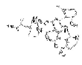 COc1nc(-c2c(O)cccc2F)cc2c1c(N1CCN(C(=O)OC(C)(C)C)CC1)nc(=O)n2-c1c(C)ccnc1C(C)C